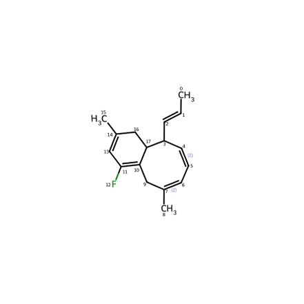 CC=CC1/C=C\C=C(\C)CC2=C(F)C=C(C)CC21